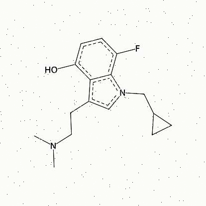 CN(C)CCc1cn(CC2CC2)c2c(F)ccc(O)c12